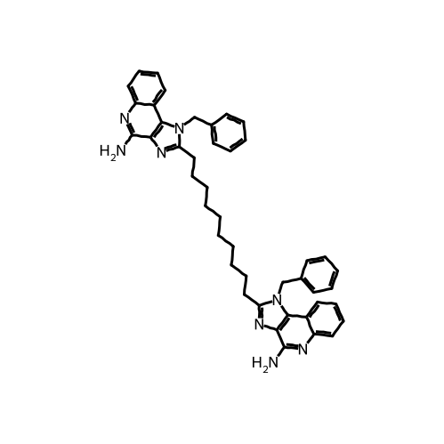 Nc1nc2ccccc2c2c1nc(CCCCCCCCCCc1nc3c(N)nc4ccccc4c3n1Cc1ccccc1)n2Cc1ccccc1